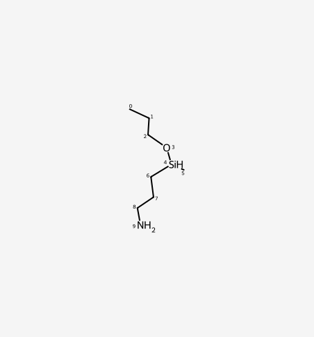 CCCO[SiH](C)CCCN